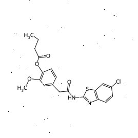 CCCC(=O)Oc1ccc(CC(=O)Nc2nc3ccc(Cl)cc3s2)cc1OC